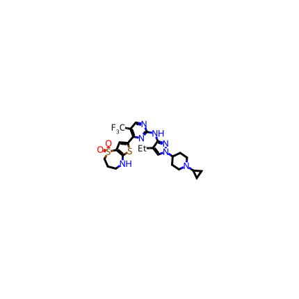 CCc1cn(C2CCN(C3CC3)CC2)nc1Nc1ncc(C(F)(F)F)c(-c2cc3c(s2)NCCCS3(=O)=O)n1